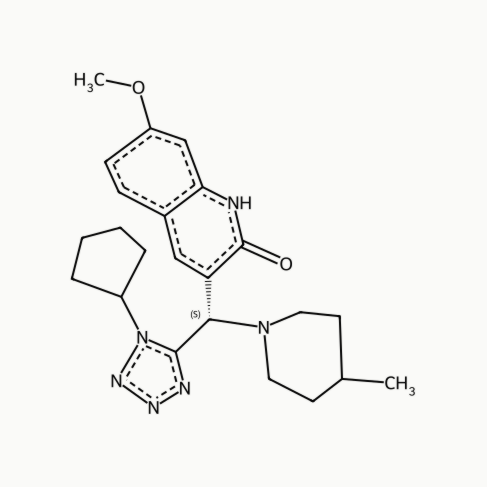 COc1ccc2cc([C@@H](c3nnnn3C3CCCC3)N3CCC(C)CC3)c(=O)[nH]c2c1